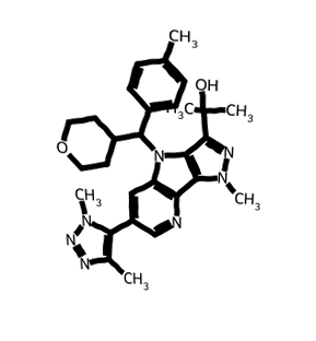 Cc1ccc(C(C2CCOCC2)n2c3cc(-c4c(C)nnn4C)cnc3c3c2c(C(C)(C)O)nn3C)cc1